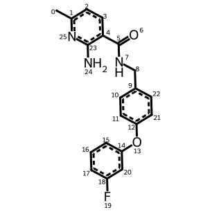 Cc1ccc(C(=O)NCc2ccc(Oc3cccc(F)c3)cc2)c(N)n1